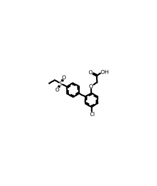 CCS(=O)(=O)c1ccc(-c2cc(Cl)ccc2OCC(=O)O)cc1